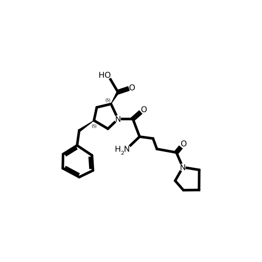 NC(CCC(=O)N1CCCC1)C(=O)N1C[C@@H](Cc2ccccc2)C[C@H]1C(=O)O